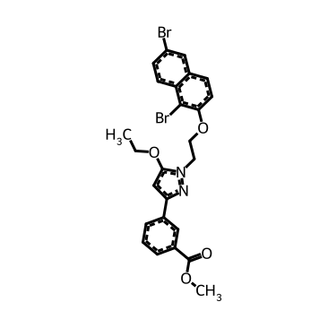 CCOc1cc(-c2cccc(C(=O)OC)c2)nn1CCOc1ccc2cc(Br)ccc2c1Br